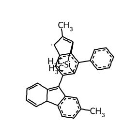 CC1=C2c3c(cc(C4=C5C=CC=CC5c5ccc(C)cc54)c(c3-c3ccccc3)[Si]2(C)C)[CH]1